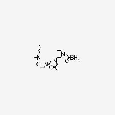 BC(=O)CN(CC)CCN(CCN(CC)CC(=O)N(C)CCCC)CC(C)=O